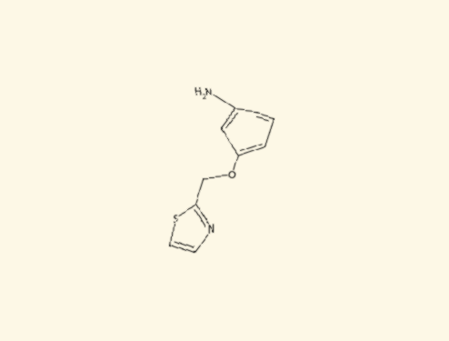 Nc1cccc(OCc2nccs2)c1